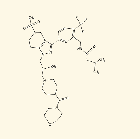 CC(C)CC(=O)NCc1cc(-c2nn(CC(O)CN3CCC(C(=O)N4CCOCC4)CC3)c3c2CN(S(C)(=O)=O)CC3)ccc1C(F)(F)F